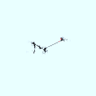 CC(C)(C)OC(=O)N[C@@H](CCCCNC(=O)CC[C@H](NC(=O)CCCCCCCCCCCCCCCCP(=O)(OC(C)(C)C)OC(C)(C)C)C(=O)OC(C)(C)C)C(=O)NCCCC[C@H](N)C(=O)O